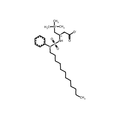 CCCCCCCCCCCCN(c1ccccc1)S(=O)(=O)N[C@H](CC(=O)[O-])C[N+](C)(C)C